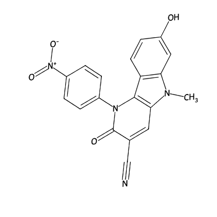 Cn1c2cc(O)ccc2c2c1cc(C#N)c(=O)n2-c1ccc([N+](=O)[O-])cc1